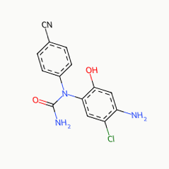 N#Cc1ccc(N(C(N)=O)c2cc(Cl)c(N)cc2O)cc1